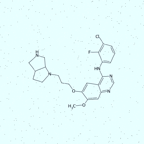 COc1cc2ncnc(Nc3cccc(Cl)c3F)c2cc1OCCCN1CCC2CNCC21